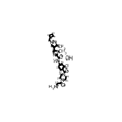 Cl.Cn1c(-c2cn(CC3CCC3)nc2C(F)(F)F)cnc1C(=O)Nc1ccc(C(=O)N2CCN(C(=O)CN)CC2)c(Cl)c1